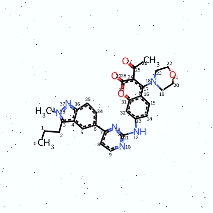 CCCc1c2cc(-c3ccnc(Nc4ccc5c(N6CCOCC6)c(C(C)=O)c(=O)oc5c4)n3)ccc2nn1C